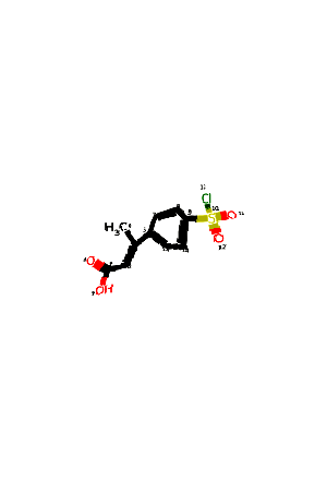 CC(=CC(=O)O)c1ccc(S(=O)(=O)Cl)cc1